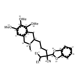 CCC(CC)C(C#N)(CCCC1Cc2c(cc(OC)c(OC)c2OC)CN1C)C1Oc2ccccc2O1